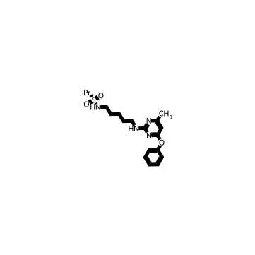 Cc1cc(Oc2ccccc2)nc(NCCCCCNS(=O)(=O)C(C)C)n1